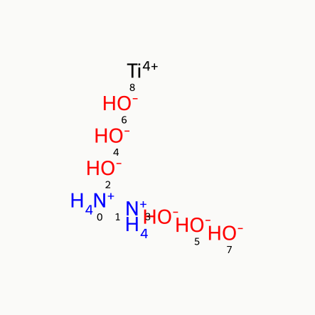 [NH4+].[NH4+].[OH-].[OH-].[OH-].[OH-].[OH-].[OH-].[Ti+4]